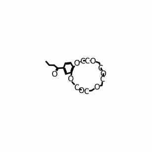 CCCC(=O)c1ccc2c(c1)OCCOCCOCCOCCOCCO2